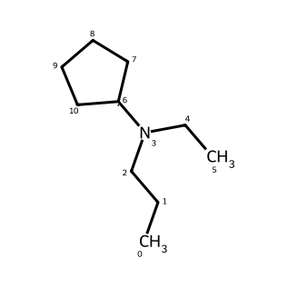 CCCN(CC)[C]1CCCC1